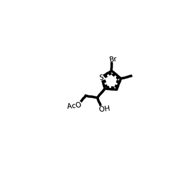 CC(=O)OCC(O)c1cc(C)c(Br)s1